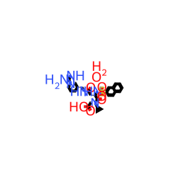 N=C(N)N1CCC[C@@H](CNC(=O)C[C@H](NS(=O)(=O)c2ccc3ccccc3c2)C(=O)N(CC(=O)O)C2CC2)C1.O